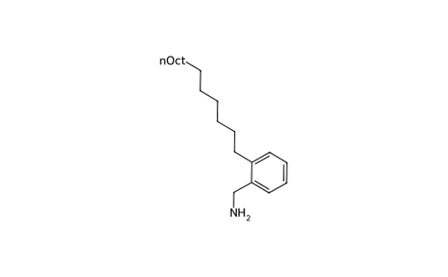 CCCCCCCCCCCCCCc1ccccc1CN